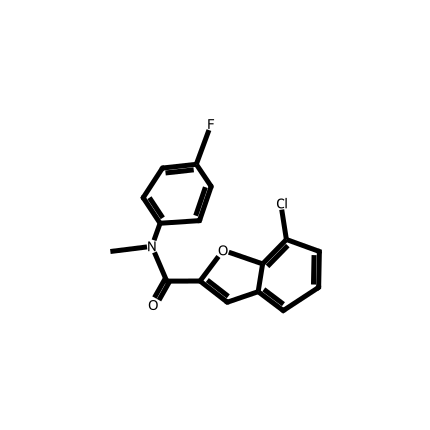 CN(C(=O)c1cc2cccc(Cl)c2o1)c1ccc(F)cc1